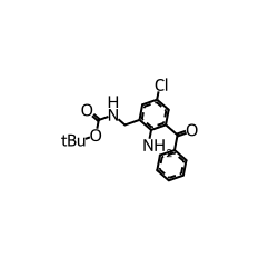 CC(C)(C)OC(=O)NCc1cc(Cl)cc(C(=O)c2ccccc2)c1N